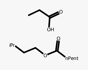 CCC(=O)O.CCCCCC(=O)OCCC(C)C